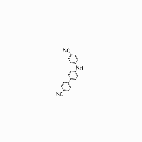 N#Cc1ccc(Nc2ccc(-c3ccc(C#N)cc3)cc2)cc1